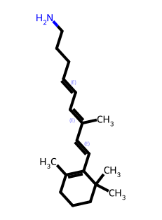 CC1=C(/C=C/C(C)=C/C=C/CCCN)C(C)(C)CCC1